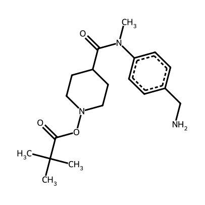 CN(C(=O)C1CCN(OC(=O)C(C)(C)C)CC1)c1ccc(CN)cc1